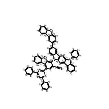 N#Cc1cc(-c2nc(-c3ccccc3)nc(-c3ccccc3)n2)c2c(oc3ccccc32)c1-n1c2ccc(-c3ccc4oc5ccccc5c4c3)cc2c2cc3c(cc21)c1ccccc1n3-c1ccccc1